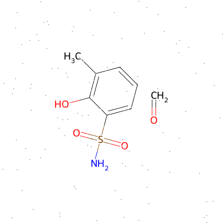 C=O.Cc1cccc(S(N)(=O)=O)c1O